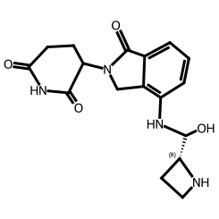 O=C1CCC(N2Cc3c(NC(O)[C@H]4CCN4)cccc3C2=O)C(=O)N1